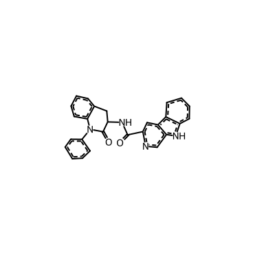 O=C(NC1Cc2ccccc2N(c2ccccc2)C1=O)c1cc2c(cn1)[nH]c1ccccc12